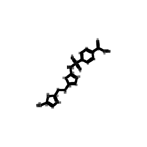 COC(=O)c1ccc(S(=O)(=O)Nc2ncc(SCc3ncc(C(C)(C)C)o3)s2)cc1